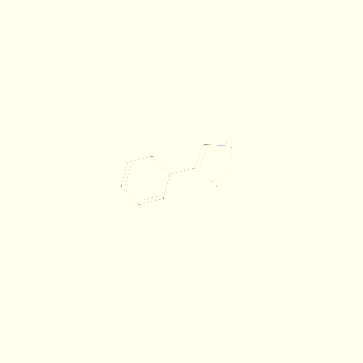 Brc1ccccc1-c1c[nH]bn1